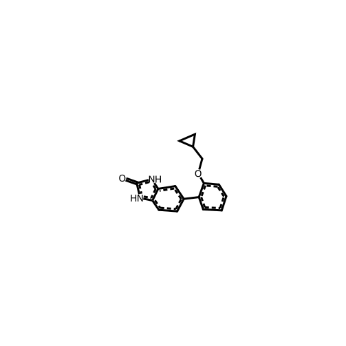 O=c1[nH]c2ccc(-c3ccccc3OCC3CC3)cc2[nH]1